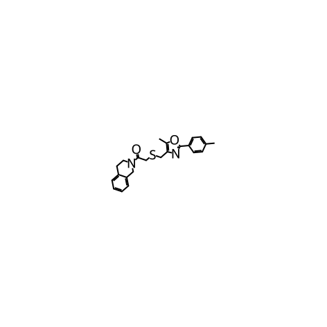 Cc1ccc(-c2nc(CSCC(=O)N3CCc4ccccc4C3)c(C)o2)cc1